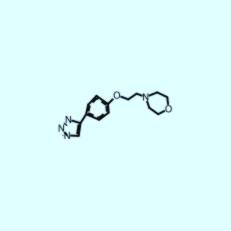 C1=C(c2ccc(OCCN3CCOCC3)cc2)N=N[N]1